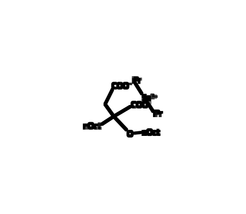 CCCCCCCCOC(CCCCCCCC)(CC(=O)[O-])C(=O)[O-].C[CH](C)[Sn+2][CH](C)C